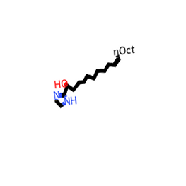 CCCCCCCC/C=C\CCCCCCCCC(O)C1=NCCN1